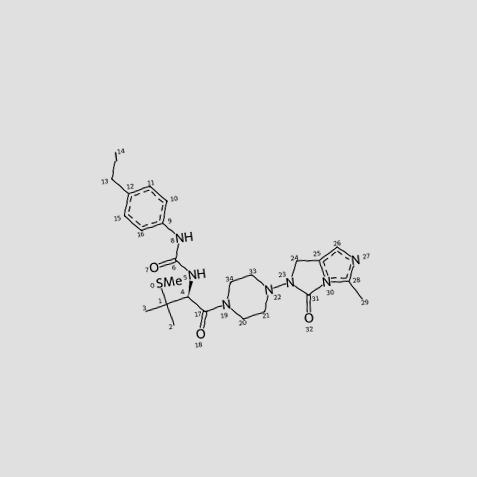 CSC(C)(C)[C@@H](NC(=O)Nc1ccc(CI)cc1)C(=O)N1CCN(N2Cc3cnc(C)n3C2=O)CC1